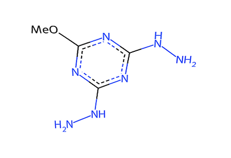 COc1nc(NN)nc(NN)n1